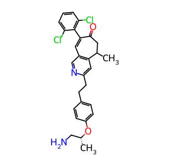 CC1CC(=O)C(c2c(Cl)cccc2Cl)=Cc2cnc(CCc3ccc(O[C@H](C)CN)cc3)cc21